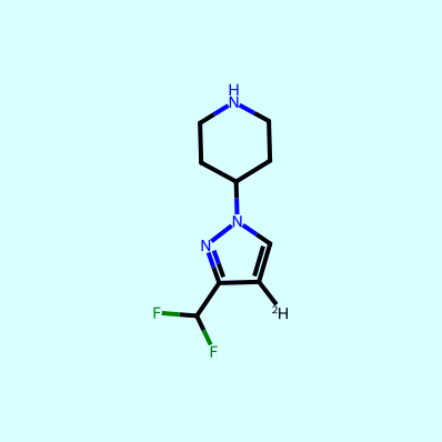 [2H]c1cn(C2CCNCC2)nc1C(F)F